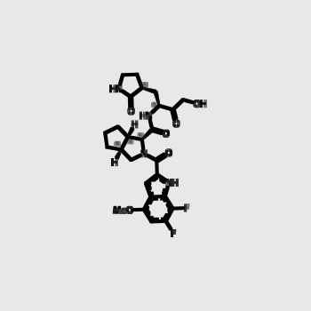 COc1cc(F)c(F)c2[nH]c(C(=O)N3C[C@@H]4CCC[C@@H]4[C@H]3C(=O)N[C@@H](C[C@@H]3CCNC3=O)C(=O)CO)cc12